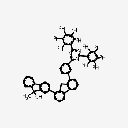 [2H]c1c([2H])c([2H])c(-c2nc(-c3cccc(-c4cccc5c4Cc4c(-c6ccc7c(c6)C(C)(C)c6ccccc6-7)cccc4-5)c3)nc(-c3c([2H])c([2H])c([2H])c([2H])c3[2H])n2)c([2H])c1[2H]